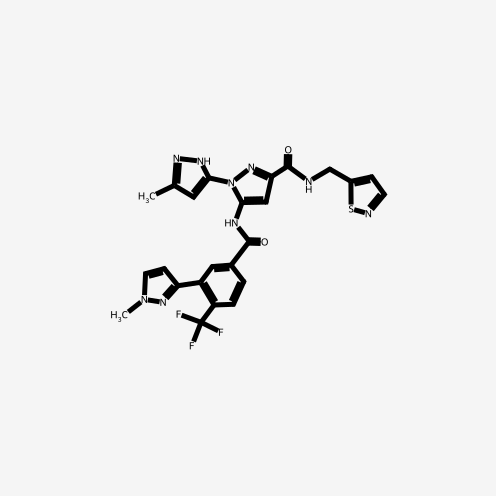 Cc1cc(-n2nc(C(=O)NCc3ccns3)cc2NC(=O)c2ccc(C(F)(F)F)c(-c3ccn(C)n3)c2)[nH]n1